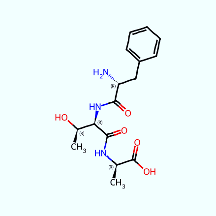 C[C@@H](NC(=O)[C@H](NC(=O)[C@H](N)Cc1ccccc1)[C@@H](C)O)C(=O)O